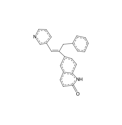 O=c1ccc2cc(C(=Cc3cccnc3)Cc3ccccc3)ccc2[nH]1